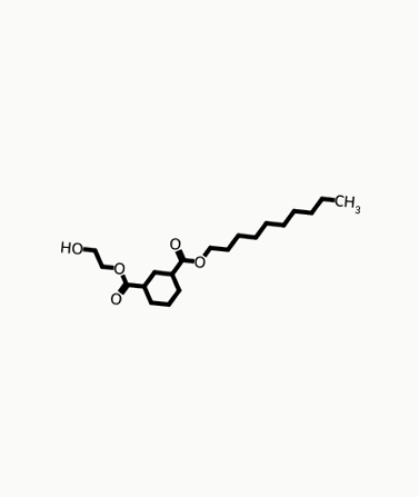 CCCCCCCCCCOC(=O)C1CCCC(C(=O)OCCO)C1